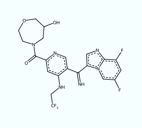 N=C(c1cnc(C(=O)N2CCOCC(O)C2)cc1NCC(F)(F)F)c1cnc2c(F)cc(F)cn12